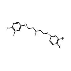 Fc1ccc(OCCNCCOc2ccc(F)c(F)c2)cc1F